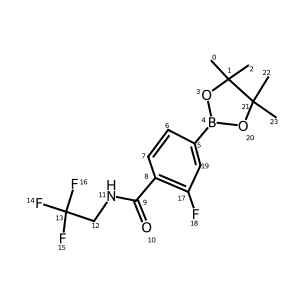 CC1(C)OB(c2ccc(C(=O)NCC(F)(F)F)c(F)c2)OC1(C)C